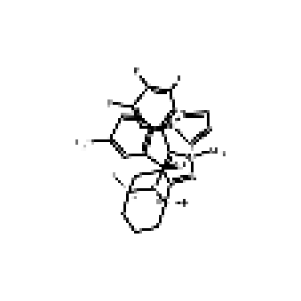 Cc1ccc(-n2nccn2)c(C(=O)N2[C@H]3CCC[C@@H]2c2nn(C)c(-c4cc(F)c(F)c(F)c4)c2C3)c1